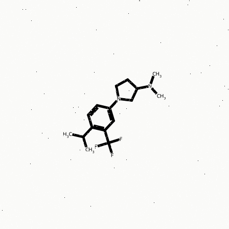 CC(C)c1ccc(N2CCC(N(C)C)C2)cc1C(F)(F)F